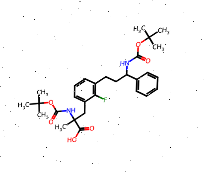 CC(C)(C)OC(=O)NC(CCc1cccc(CC(C)(NC(=O)OC(C)(C)C)C(=O)O)c1F)c1ccccc1